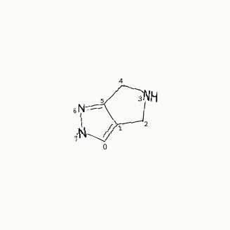 C1=C2CNCC2=N[N]1